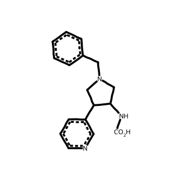 O=C(O)NC1CN(Cc2ccccc2)CC1c1cccnc1